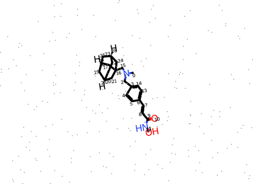 CN(Cc1ccc(/C=C/C(=O)NO)cc1)CC12C[C@H]3C[C@H](C1)C[C@@H](C2)C3